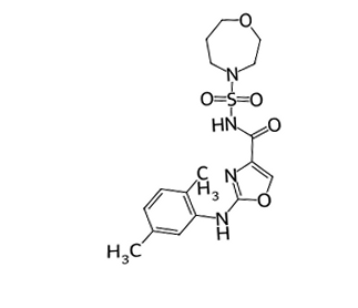 Cc1ccc(C)c(Nc2nc(C(=O)NS(=O)(=O)N3CCCOCC3)co2)c1